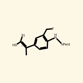 CCCCCNc1ccc(/C(C)=C(/S)CC)cc1CF